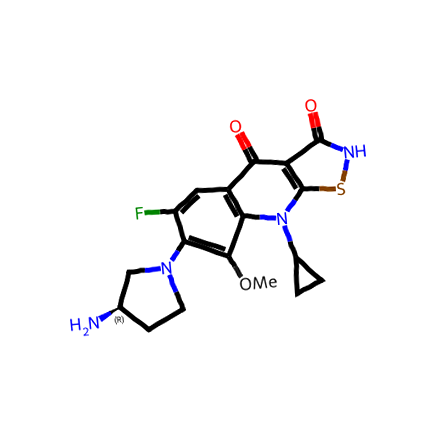 COc1c(N2CC[C@@H](N)C2)c(F)cc2c(=O)c3c(=O)[nH]sc3n(C3CC3)c12